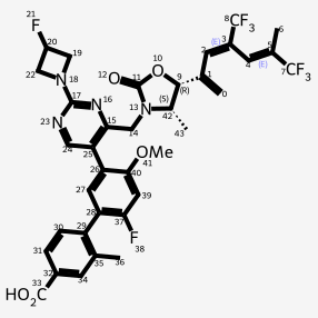 C=C(/C=C(\C=C(/C)C(F)(F)F)C(F)(F)F)[C@H]1OC(=O)N(Cc2nc(N3CC(F)C3)ncc2-c2cc(-c3ccc(C(=O)O)cc3C)c(F)cc2OC)[C@H]1C